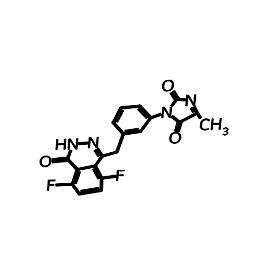 CC1=NC(=O)N(c2cccc(Cc3n[nH]c(=O)c4c(F)ccc(F)c34)c2)C1=O